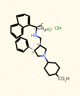 C[C@@H](NC[C@H]1CN(C2CCC(C(=O)O)CC2)C[C@@H]1c1ccccc1)c1cccc2ccccc12.Cl.Cl